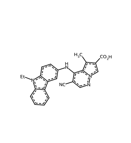 CCn1c2ccccc2c2cc(Nc3c(C#N)cnn4cc(C(=O)O)c(C)c34)ccc21